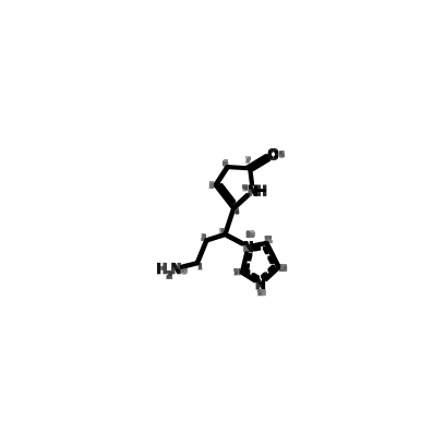 NCCC(C1=CCC(=O)N1)n1ccnc1